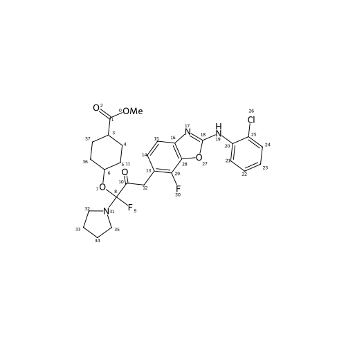 COC(=O)C1CCC(OC(F)(C(=O)Cc2ccc3nc(Nc4ccccc4Cl)oc3c2F)N2CCCC2)CC1